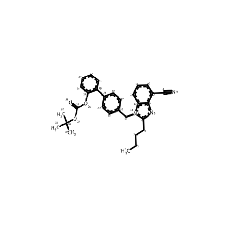 CCCCc1nc2c(C#N)cccc2n1Cc1ccc(-c2ccccc2OC(=O)OC(C)(C)C)cc1